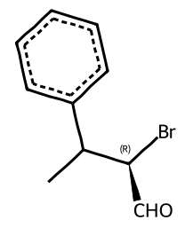 CC(c1ccccc1)[C@@H](Br)C=O